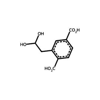 O=C(O)c1ccc(C(=O)O)c(CC(O)O)c1